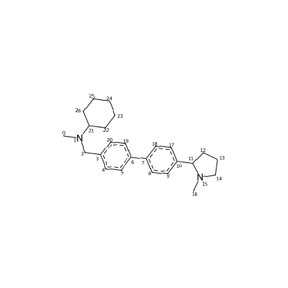 CN(Cc1ccc(-c2ccc(C3CCCN3C)cc2)cc1)C1CCCCC1